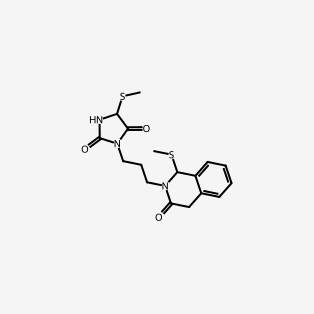 CSC1NC(=O)N(CCCN2C(=O)Cc3ccccc3C2SC)C1=O